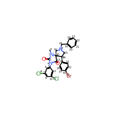 CN1C(=O)N(c2cc(Cl)cc(Cl)c2)C(=O)[C@]12CN(Cc1ccccc1)C[C@H]2c1ccc(Br)cc1